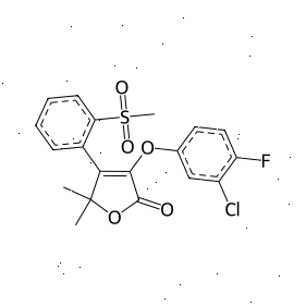 CC1(C)OC(=O)C(Oc2ccc(F)c(Cl)c2)=C1c1ccccc1S(C)(=O)=O